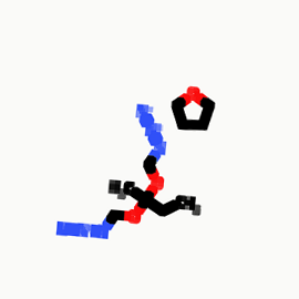 C1CCOC1.CCC(C)(OCN=[N+]=[N-])OCN=[N+]=[N-]